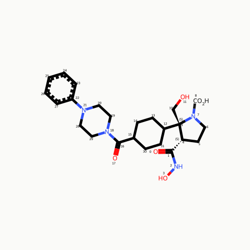 O=C(NO)[C@H]1CCN(C(=O)O)[C@@]1(CO)C1CCC(C(=O)N2CCN(c3ccccc3)CC2)CC1